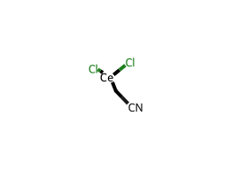 N#C[CH2][Ce]([Cl])[Cl]